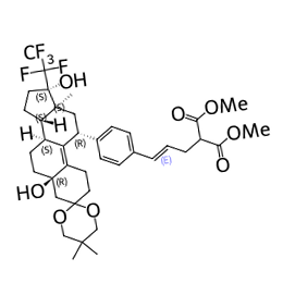 COC(=O)C(C/C=C/c1ccc([C@H]2C[C@@]3(C)[C@@H](CC[C@@]3(O)C(F)(F)C(F)(F)F)[C@@H]3CC[C@@]4(O)CC5(CCC4=C32)OCC(C)(C)CO5)cc1)C(=O)OC